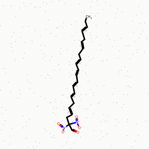 CC/C=C/C/C=C/C/C=C/C=C/C=C/C=C/C/C=C/CC([C]=O)([N+](=O)[O-])[N+](=O)[O-]